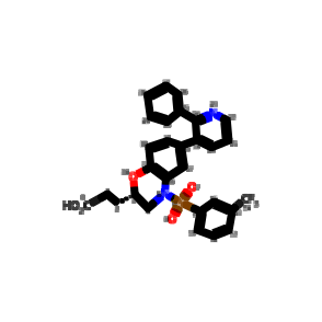 O=C(O)CC[C@H]1CN(S(=O)(=O)c2cccc(C(F)(F)F)c2)c2cc(-c3cccnc3-c3ccccc3)ccc2O1